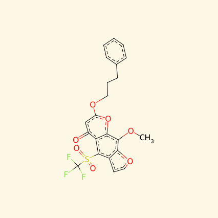 COc1c2occc2c(S(=O)(=O)C(F)(F)F)c2c(=O)cc(OCCCc3ccccc3)oc12